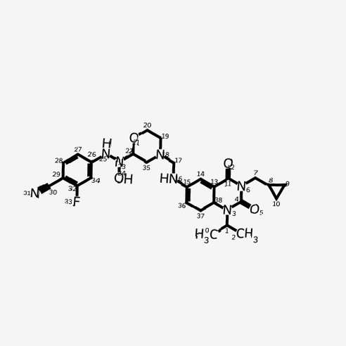 CC(C)N1C(=O)N(CC2CC2)C(=O)C2=CC(NCN3CCOC(N(O)Nc4ccc(C#N)c(F)c4)C3)=CCC21